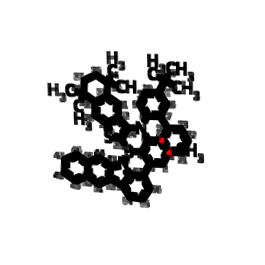 Cc1cc2c3c(c1)N(c1ccc(C(C)(C)C)cc1-c1ccccc1)c1c(sc4cc5c(cc14)C(C)(C)CCC5(C)C)B3n1c3cc4ccccc4cc3c3cccc-2c31